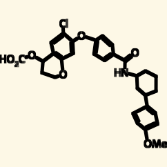 COc1ccc(C2CCCC(NC(=O)c3ccc(Oc4cc5c(cc4Cl)C(OC(=O)O)CCO5)cc3)C2)cc1